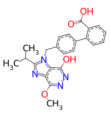 COc1nnc(O)c2c1nc(C(C)C)n2Cc1ccc(-c2ccccc2C(=O)O)cc1